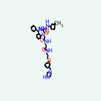 Cc1cccc(NC(=O)NC2N=C(c3ccccc3)c3ccccc3N(CC(=O)NCCC(=O)NCCCOc3cccc(CN4CCNCC4)c3)C2=O)c1